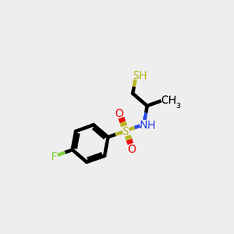 CC(CS)NS(=O)(=O)c1ccc(F)cc1